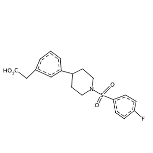 O=C(O)Cc1cccc(C2CCN(S(=O)(=O)c3ccc(F)cc3)CC2)c1